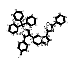 Fc1ccc(-c2nn(C(c3ccccc3)(c3ccccc3)c3ccccc3)cc2-c2ccc3ncc(-c4noc(-c5ccccc5)n4)n3c2)cc1